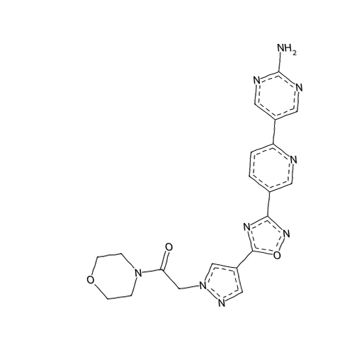 Nc1ncc(-c2ccc(-c3noc(-c4cnn(CC(=O)N5CCOCC5)c4)n3)cn2)cn1